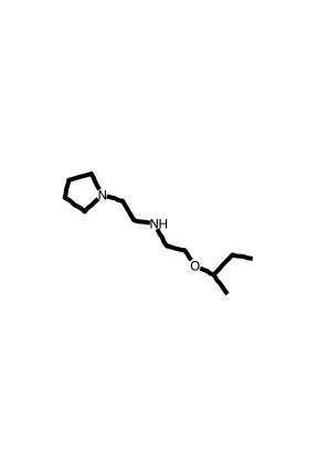 CCC(C)OCCNCCN1CCCC1